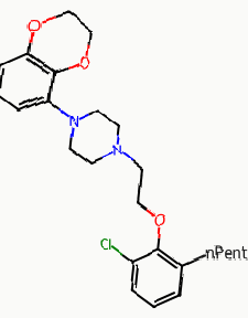 CCCCCc1cccc(Cl)c1OCCN1CCN(c2cccc3c2OCCO3)CC1